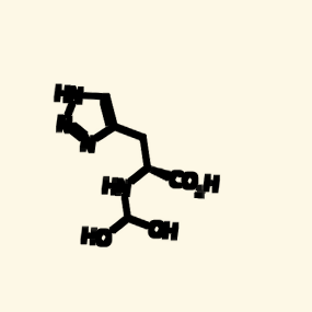 O=C(O)[C@H](Cc1c[nH]nn1)NC(O)O